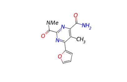 CNC(=O)c1nc(C(N)=O)c(C)c(-c2ccco2)n1